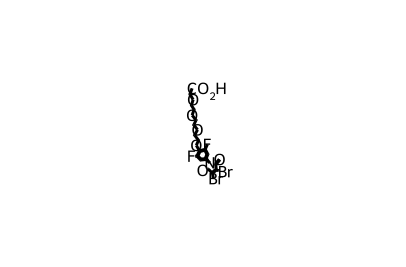 O=C(O)COCCOCCOCCOc1c(F)cc(N2C(=O)C(Br)=C(Br)C2=O)cc1F